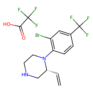 C=C[C@@H]1CNCCN1c1ccc(C(F)(F)F)cc1Br.O=C(O)C(F)(F)F